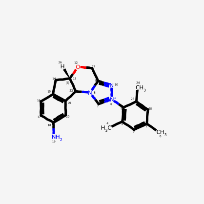 Cc1cc(C)c(-[n+]2cn3c(n2)CO[C@H]2Cc4ccc(N)cc4C23)c(C)c1